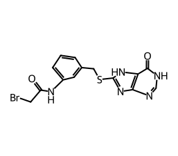 O=C(CBr)Nc1cccc(CSc2nc3nc[nH]c(=O)c3[nH]2)c1